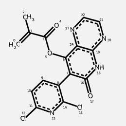 C=C(C)C(=O)Oc1c(-c2ccc(Cl)nc2Cl)c(=O)[nH]c2nccnc12